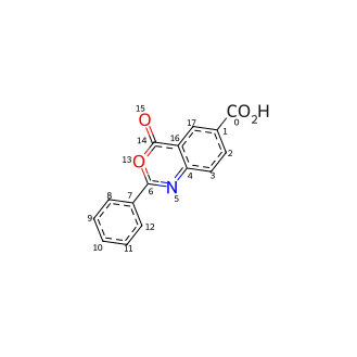 O=C(O)c1ccc2nc(-c3ccccc3)oc(=O)c2c1